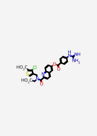 N=C(N)Nc1ccc(C(=O)Oc2ccc3nc(C(=O)N(CC(=O)O)Cc4csc(C(=O)O)c4Cl)ccc3c2)cc1